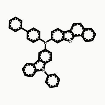 c1ccc(-c2ccc(N(c3ccc4c(c3)oc3c5ccccc5ccc43)c3ccc4c(c3)c3ccccc3n4-c3ccccc3)cc2)cc1